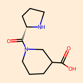 O=C(O)C1CCCN(C(=O)[C@@H]2CCCN2)C1